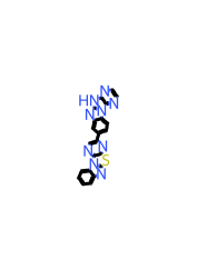 c1ccc2c(c1)nc1sc3nc(-c4ccc5c(c4)nc4[nH]c6nccnc6n45)cnc3n12